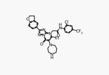 CCc1c(N2CCCNCC2)c(=O)n2nc(-c3ccc4c(c3)CCO4)nc2n1CC(=O)Nc1ccc(C(F)(F)F)cc1Cl